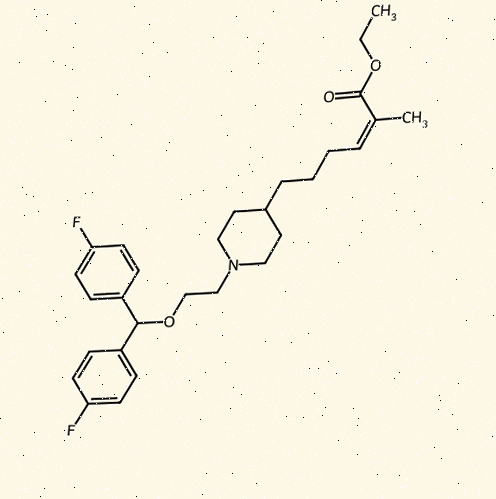 CCOC(=O)C(C)=CCCCC1CCN(CCOC(c2ccc(F)cc2)c2ccc(F)cc2)CC1